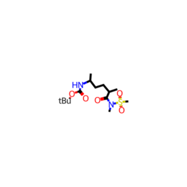 CC(CCC(C)C(=O)N(C)S(C)(=O)=O)NC(=O)OC(C)(C)C